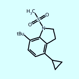 CC(C)(C)c1ccc(C2CC2)c2c1N(S(C)(=O)=O)CC2